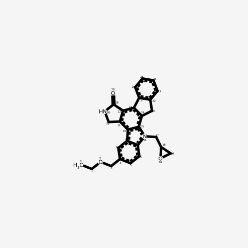 CCOCc1ccc2c(c1)c1c3c(c4c(c1n2CC1CO1)Cc1ccccc1-4)C(=O)NC3